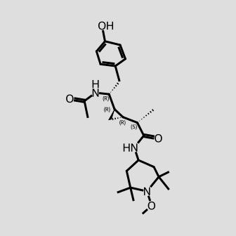 CON1C(C)(C)CC(NC(=O)[C@@H](C)[C@@H]2C[C@H]2[C@@H](Cc2ccc(O)cc2)NC(C)=O)CC1(C)C